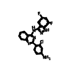 Nc1ccc(-c2nc(Nc3n[nH]c4c(F)cc(F)cc34)c3ccccc3n2)c(Cl)c1